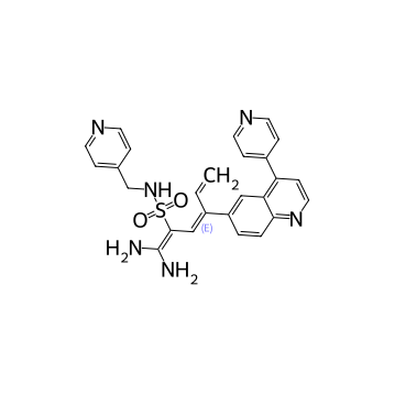 C=C/C(=C\C(=C(N)N)S(=O)(=O)NCc1ccncc1)c1ccc2nccc(-c3ccncc3)c2c1